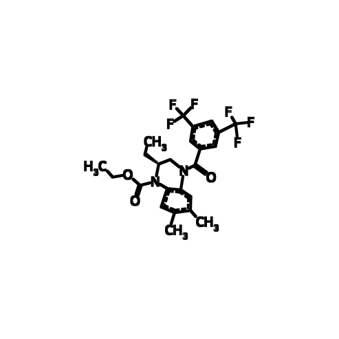 CCOC(=O)N1c2cc(C)c(C)cc2N(C(=O)c2cc(C(F)(F)F)cc(C(F)(F)F)c2)C[C@@H]1CC